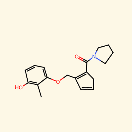 Cc1c(O)cccc1OCC1=C(C(=O)N2CCCC2)CC=C1